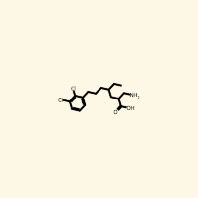 CCC(CCCc1cccc(Cl)c1Cl)CC(CN)C(=O)O